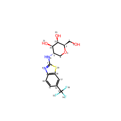 OC[C@H]1OC[C@H](Nc2nc3ccc(C(F)(F)F)cc3s2)[C@@H](O)[C@H]1O